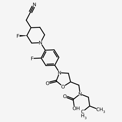 CC(C)CN(CC1CN(c2ccc(N3CCC(CC#N)[C@H](F)C3)c(F)c2)C(=O)O1)C(=O)O